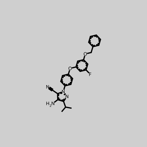 CC(C)c1nn(-c2ccc(Oc3cc(F)cc(OCc4ccccc4)c3)cc2)c(C#N)c1N